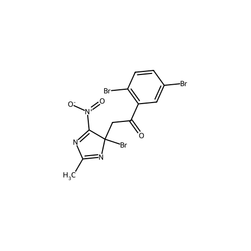 CC1=NC(Br)(CC(=O)c2cc(Br)ccc2Br)C([N+](=O)[O-])=N1